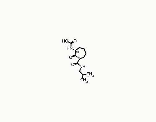 CC(C)CNC(=O)N1CCCC[C@H](NC(=O)O)C1=O